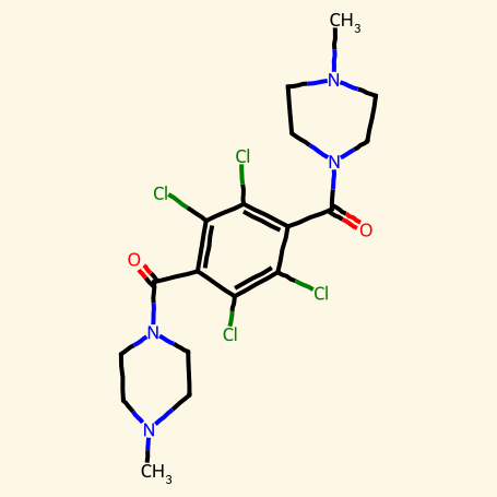 CN1CCN(C(=O)c2c(Cl)c(Cl)c(C(=O)N3CCN(C)CC3)c(Cl)c2Cl)CC1